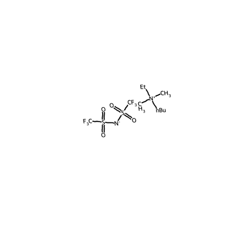 CCCC[N+](C)(C)CC.O=S(=O)([N-]S(=O)(=O)C(F)(F)F)C(F)(F)F